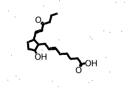 CCCC(=O)C=CC1CCC(O)C1CC=CCCCCC(=O)O